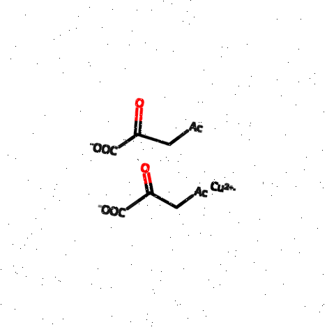 CC(=O)CC(=O)C(=O)[O-].CC(=O)CC(=O)C(=O)[O-].[Cu+2]